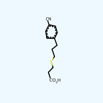 N#Cc1ccc(CCCSCCC(=O)O)cc1